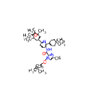 CC1=C(C)C2(C)CC(c3ccc(NC(=O)c4nc(C#N)cn4COCC[Si](C)(C)C)c(C4=CCC(C)(C)CC4)n3)=CC1(C)O2